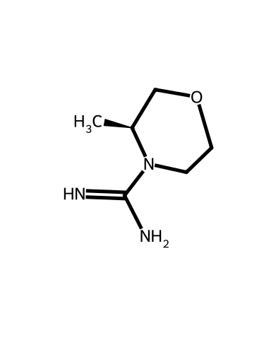 C[C@H]1COCCN1C(=N)N